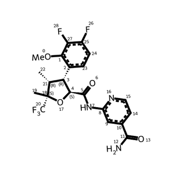 COc1c([C@@H]2[C@@H](C(=O)Nc3cc(C(N)=O)ccn3)O[C@](C)(C(F)(F)F)[C@@H]2C)ccc(F)c1F